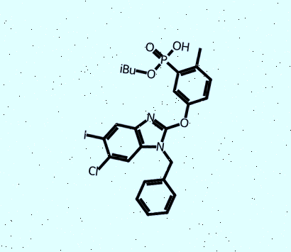 CCC(C)OP(=O)(O)c1cc(Oc2nc3cc(I)c(Cl)cc3n2Cc2ccccc2)ccc1C